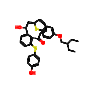 CCC(CC)COc1ccc(SC2=C\C(O)c3cccc(Sc4ccc(O)cc4)c3C(=O)/C=C/C=C\2)cc1